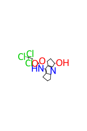 O=C(Nc1c2c(nc3c1CCC3O)CCC2)OCC(Cl)(Cl)Cl